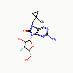 N#CC1(Cn2c(=O)n([C@@H]3O[C@H](CO)[C@@H](F)[C@H]3O)c3nc(N)ncc32)CC1